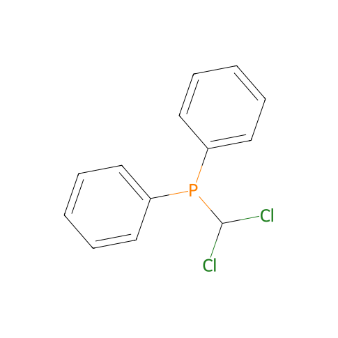 ClC(Cl)P(c1ccccc1)c1ccccc1